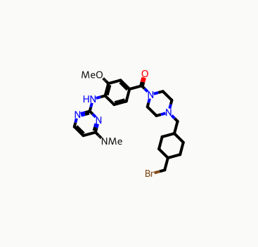 CNc1ccnc(Nc2ccc(C(=O)N3CCN(CC4CCC(CBr)CC4)CC3)cc2OC)n1